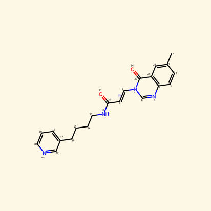 Cc1ccc2ncn(/C=C/C(=O)NCCCCc3cccnc3)c(=O)c2c1